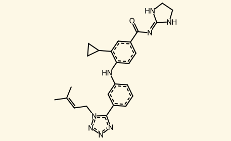 CC(C)=CCn1nnnc1-c1cccc(Nc2ccc(C(=O)N=C3NCCN3)cc2C2CC2)c1